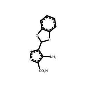 Nc1c(C2Oc3ccccc3O2)nsc1C(=O)O